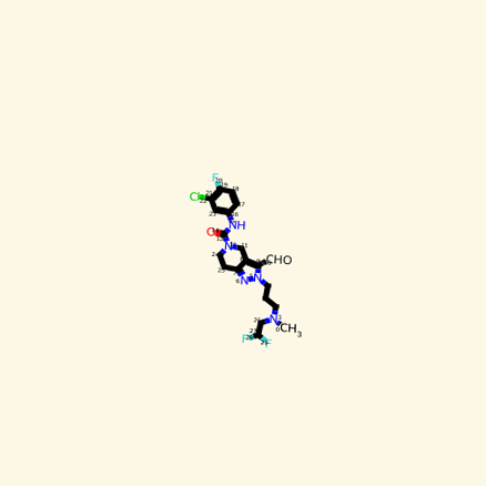 CN(CCCn1nc2c(c1C=O)CN(C(=O)Nc1ccc(F)c(Cl)c1)CC2)CC(F)F